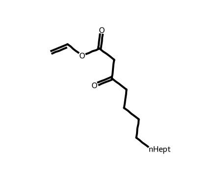 C=COC(=O)CC(=O)CCCCCCCCCCC